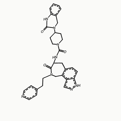 O=C(NC1Cc2ccc3[nH]ncc3c2CN(CCc2ccncc2)C1=O)N1CCC(N2Cc3ccccc3NC2=O)CC1